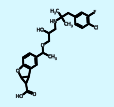 CC(OCC(O)CNC(C)(C)Cc1ccc(Cl)c(F)c1)c1ccc2c(c1)C1C(O2)C1C(=O)O